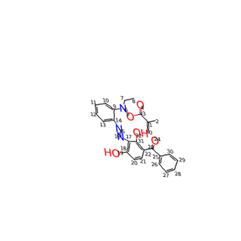 C=C(C)C(=O)ON(CC)c1ccccc1N=Nc1c(O)ccc(C(=O)c2ccccc2)c1O